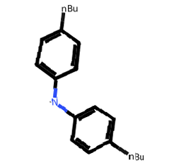 CCCCc1ccc([N]c2ccc(CCCC)cc2)cc1